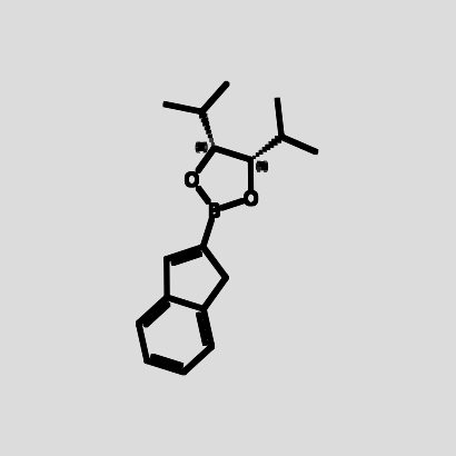 CC(C)[C@H]1OB(C2=Cc3ccccc3C2)O[C@H]1C(C)C